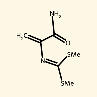 C=C(N=C(SC)SC)C(N)=O